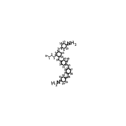 CCCCc1cc(Cc2ccc(N)cc2)ccc1Cc1ccc(Cc2ccc(Cc3ccc(N)cc3)cc2)c(C)c1